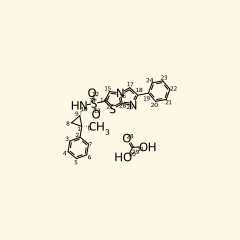 C[C@]1(c2ccccc2)C[C@@H]1NS(=O)(=O)c1cn2cc(-c3ccccc3)nc2s1.O=C(O)O